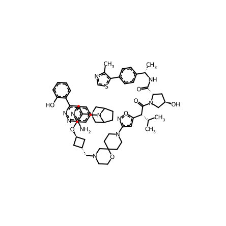 Cc1ncsc1-c1ccc([C@H](C)NC(=O)[C@@H]2C[C@@H](O)CN2C(=O)[C@@H](c2cc(N3CCC4(CC3)CN(C[C@H]3C[C@H](Oc5cc(N6C7CCC6CN(c6cc(-c8ccccc8O)nnc6N)C7)ccn5)C3)CCO4)no2)C(C)C)cc1